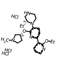 CCOc1ncccc1-c1ccc(N2CCNC[C@H]2CC)c(O[C@@H]2CCN(C)C2)n1.Cl.Cl.Cl